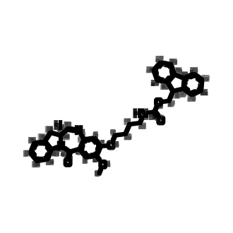 COc1cc2c(cc1OCCCCNC(=O)OCC1c3ccccc3-c3ccccc31)N=C[C@@H]1Cc3ccccc3N1C2=O